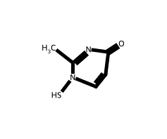 Cc1nc(=O)ccn1S